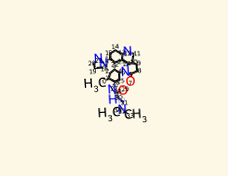 Cc1ccc(-n2c(=O)ccc3cnc4ccc(-n5cccn5)cc4c32)cc1NC(=O)/C=C/N(C)C